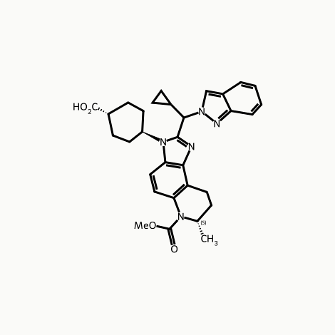 COC(=O)N1c2ccc3c(nc(C(C4CC4)n4cc5ccccc5n4)n3[C@H]3CC[C@H](C(=O)O)CC3)c2CC[C@@H]1C